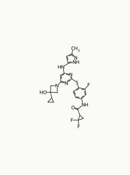 Cc1cc(Nc2cc(N3CC(O)(C4CC4)C3)nc(Sc3ccc(NC(=O)C4CC4(F)F)cc3F)n2)[nH]n1